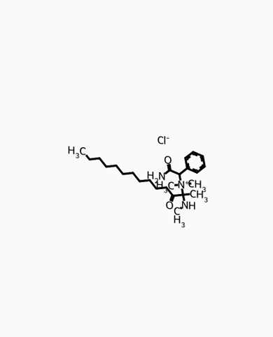 CCCCCCCCCCCC(=O)C(C)(NC)[N+](C)(C)C(C(N)=O)c1ccccc1.[Cl-]